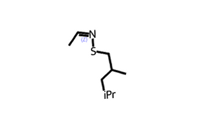 C/C=N\SCC(C)CC(C)C